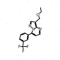 CCOCc1cnn2c(-c3cccc(C(F)(F)F)c3)ccnc12